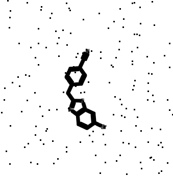 N#Cc1ccc(Cc2nc3ccc(Br)cc3s2)cc1